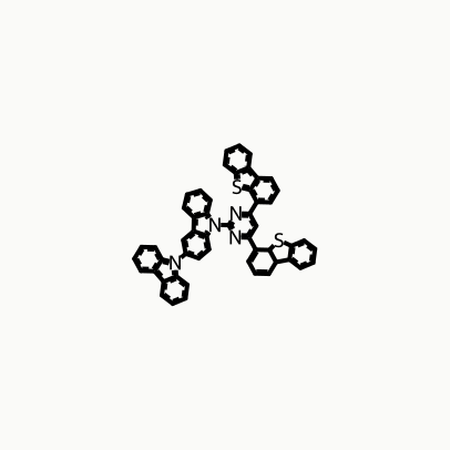 C1=CC2c3ccccc3SC2C(c2cc(-c3cccc4c3sc3ccccc34)nc(-n3c4ccccc4c4cc(-n5c6ccccc6c6ccccc65)ccc43)n2)=C1